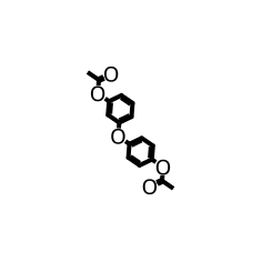 CC(=O)Oc1ccc(Oc2cccc(OC(C)=O)c2)cc1